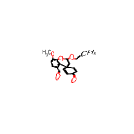 CCOC1CC2(C=CC(=O)C=C2)c2c(C=O)ccc(OC)c2O1